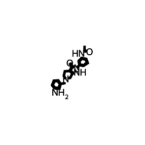 CC(=O)Nc1cccc(-n2[nH]c3c(c2=O)CCN(Cc2cccc(N)c2)C3)c1